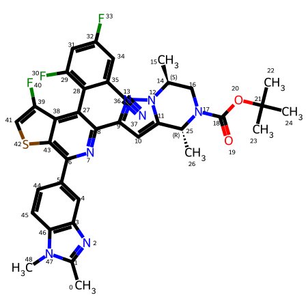 Cc1nc2cc(-c3nc(-c4cc5n(n4)[C@@H](C)CN(C(=O)OC(C)(C)C)[C@@H]5C)c(-c4c(F)cc(F)cc4C#N)c4c(F)csc34)ccc2n1C